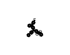 Fc1ccc(-n2c3ccccc3c3cc(N(c4cc[n+](-c5ccccc5)cc4)c4ccc5c(c4)oc4c6ccccc6oc54)ccc32)cc1